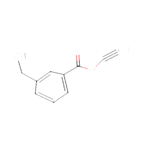 C#COC(=O)c1cccc(CC)c1